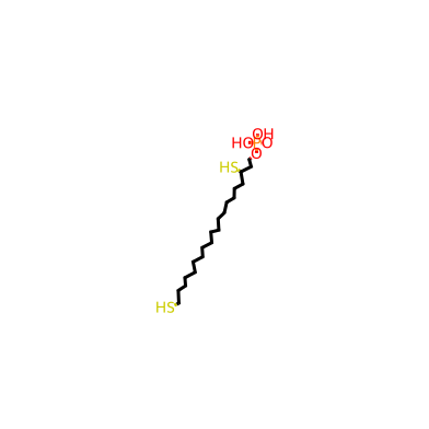 O=P(O)(O)OCCC(S)CCCCCCCCCCCCCCCCCS